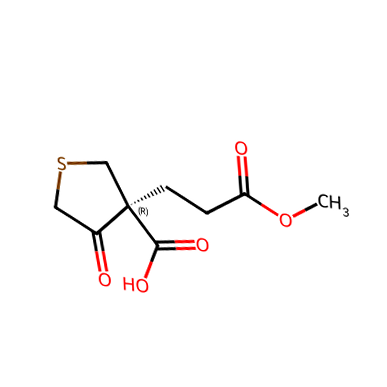 COC(=O)CC[C@@]1(C(=O)O)CSCC1=O